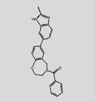 Cc1nc2ccc(-c3ccc4c(c3)CN(C(=O)c3ccccc3)CCO4)cc2[nH]1